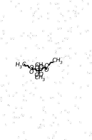 CCCCOC(=O)CCC(CCC(=O)OCCCC)(C(=O)OC)C(=O)OC